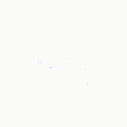 C[S+]([O-])c1cccc(NC(=O)c2ccccc2N)c1